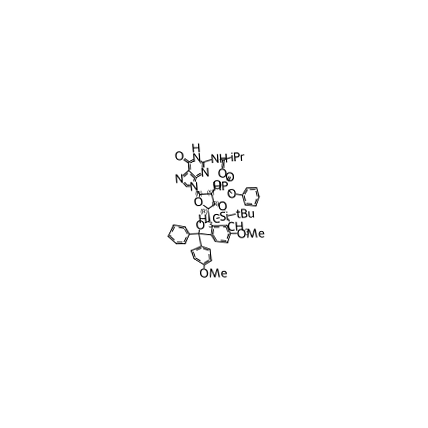 COc1ccc(C(OC[C@H]2O[C@@H](n3cnc4c(=O)[nH]c(NC(=O)C(C)C)nc43)[C@@H](O[PH](=O)Oc3ccccc3)[C@@H]2O[Si](C)(C)C(C)(C)C)(c2ccccc2)c2ccc(OC)cc2)cc1